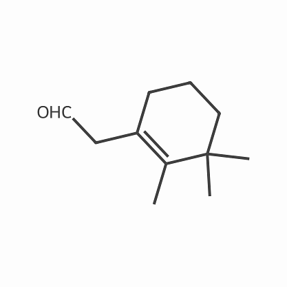 CC1=C(CC=O)CCCC1(C)C